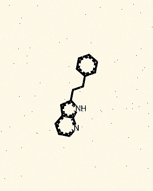 c1ccc(CCc2cc3cccnc3[nH]2)cc1